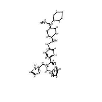 CCCN(C1CCCCC1)C1CCC(NCc2ccc(C(=O)N(Cc3ncc[nH]3)Cc3ncc[nH]3)cc2)CC1